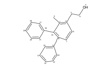 Cc1c(CCO)[c]cc(-c2ccccc2)c1-c1ccccc1